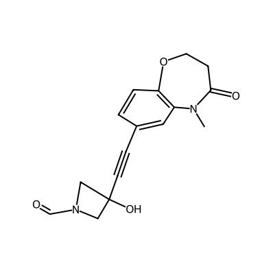 CN1C(=O)CCOc2ccc(C#CC3(O)CN(C=O)C3)cc21